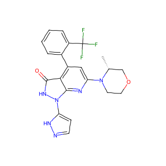 C[C@@H]1COCCN1c1cc(-c2ccccc2C(F)(F)F)c2c(=O)[nH]n(-c3ccn[nH]3)c2n1